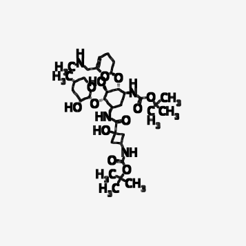 CNCC1=CCC[C@@H](O[C@H]2[C@H](O)[C@@H](O[C@H]3OC[C@@H](C)C[C@H]3O)[C@H](NC(=O)C3(O)CC(NC(=O)OC(C)(C)C)C3)C[C@@H]2NC(=O)OC(C)(C)C)O1